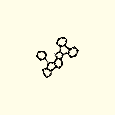 c1ccc(-n2c3ccccc3c3ccc4c(sc5c6ccccc6c6ccccc6c45)c32)cc1